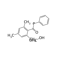 Cc1cc(C)c(C(=O)[P]c2ccccc2)c(C)c1.O=CO